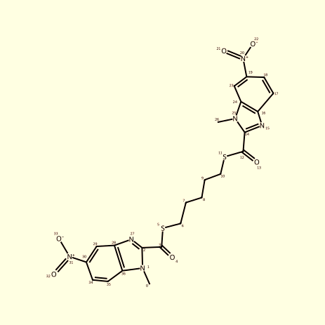 Cn1c(C(=O)SCCCCCSC(=O)c2nc3ccc([N+](=O)[O-])cc3n2C)nc2cc([N+](=O)[O-])ccc21